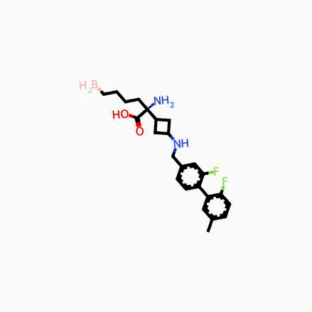 BCCCC[C@@](N)(C(=O)O)C1CC(NCc2ccc(-c3cc(C)ccc3F)c(F)c2)C1